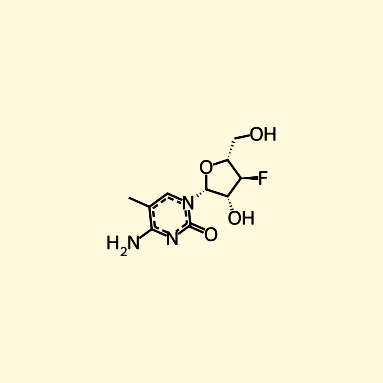 Cc1cn([C@@H]2O[C@H](CO)[C@@H](F)[C@@H]2O)c(=O)nc1N